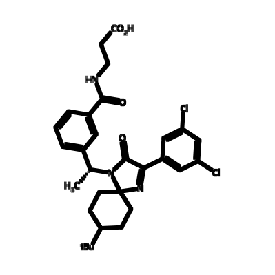 C[C@H](c1cccc(C(=O)NCCC(=O)O)c1)N1C(=O)C(c2cc(Cl)cc(Cl)c2)=NC12CCC(C(C)(C)C)CC2